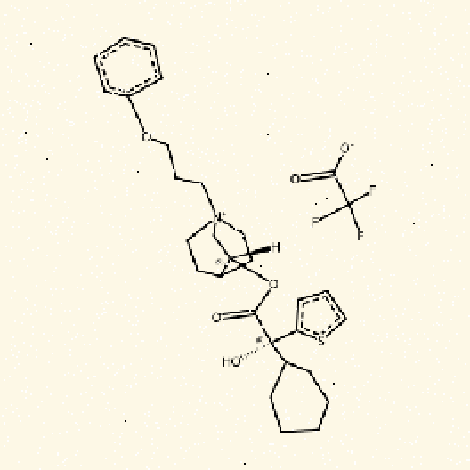 O=C(O[C@H]1C[N+]2(CCCOc3ccccc3)CCC1CC2)[C@@](O)(c1cccs1)C1CCCCC1.O=C([O-])C(F)(F)F